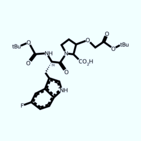 CC(C)(C)OC(=O)COC1CCN(C(=O)[C@H](Cc2c[nH]c3ccc(F)cc23)NC(=O)OC(C)(C)C)C1C(=O)O